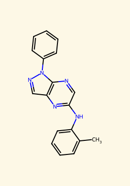 Cc1ccccc1Nc1cnc2c(cnn2-c2ccccc2)n1